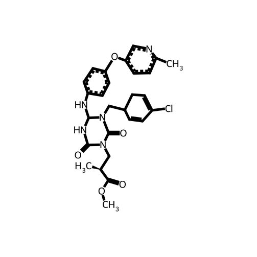 COC(=O)[C@@H](C)CN1C(=O)NC(Nc2ccc(Oc3ccc(C)nc3)cc2)N(CC2C=CC(Cl)=CC2)C1=O